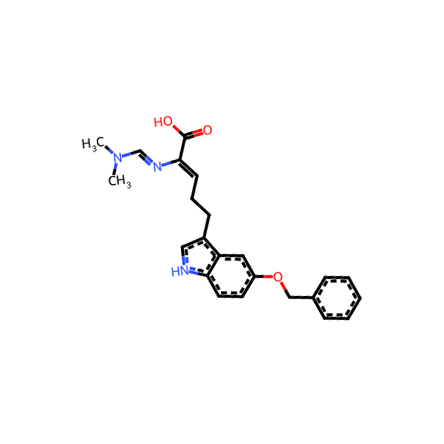 CN(C)C=NC(=CCCc1c[nH]c2ccc(OCc3ccccc3)cc12)C(=O)O